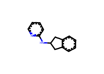 c1ccc(NC2Cc3ccccc3C2)nc1